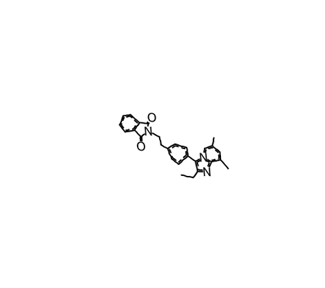 CCc1nc2c(C)cc(C)cn2c1-c1ccc(CCN2C(=O)c3ccccc3C2=O)cc1